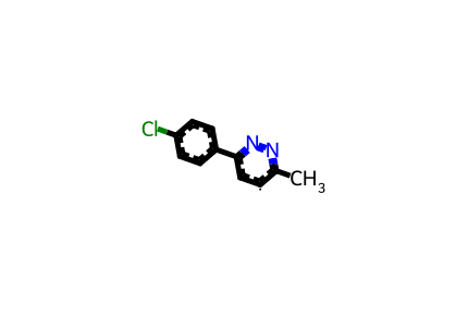 Cc1[c]cc(-c2ccc(Cl)cc2)nn1